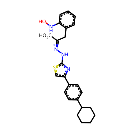 O=C(O)/C(Cc1ccccc1NO)=N/Nc1nc(-c2ccc(C3CCCCC3)cc2)cs1